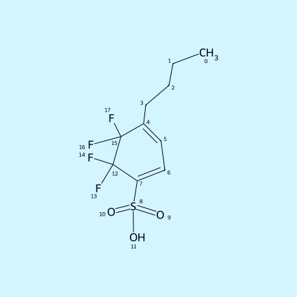 CCCCC1=CC=C(S(=O)(=O)O)C(F)(F)C1(F)F